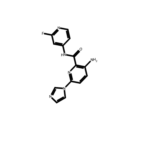 Nc1ccc(-n2ccnc2)nc1C(=O)Nc1ccnc(F)c1